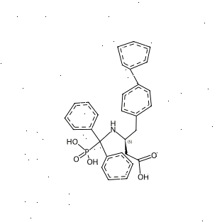 O=C(O)C[C@H](Cc1ccc(-c2ccccc2)cc1)NC(c1ccccc1)(c1ccccc1)P(=O)(O)O